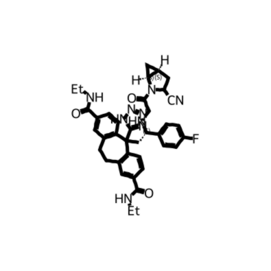 CCNC(=O)c1ccc2c(c1)CCc1cc(C(=O)NCC)ccc1C2(C[C@H](NCC(=O)N1C(C#N)C[C@@H]2C[C@@H]21)c1ccc(F)cc1)c1nnn[nH]1